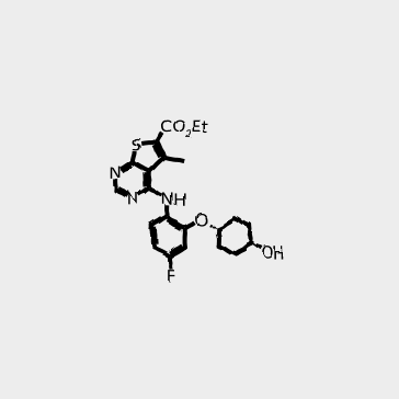 CCOC(=O)c1sc2ncnc(Nc3ccc(F)cc3O[C@H]3CC[C@H](O)CC3)c2c1C